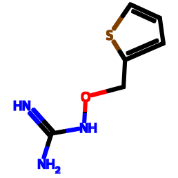 N=C(N)NOCc1cccs1